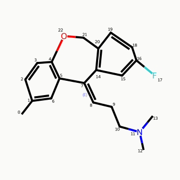 Cc1ccc2c(c1)/C(=C/CCN(C)C)c1cc(F)ccc1CO2